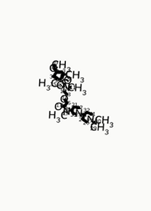 COc1cc(C)c(S(=O)(=O)N(C)CCOCC(=O)N(C)[C@H]2CCN(C3CCN(C(C)C)CC3)C2)c(C)c1